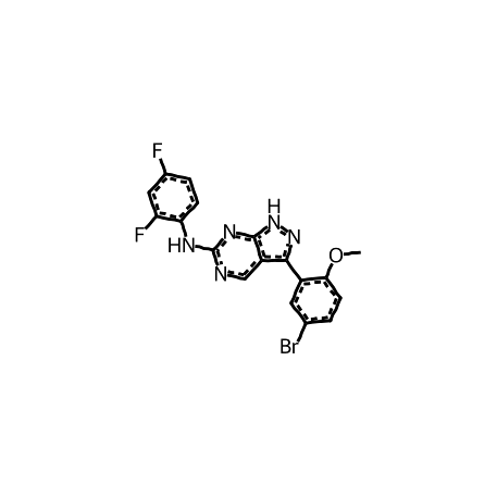 COc1ccc(Br)cc1-c1n[nH]c2nc(Nc3ccc(F)cc3F)ncc12